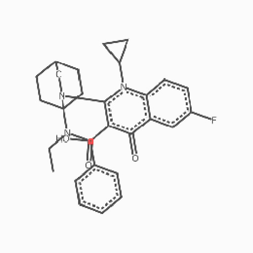 CCN(Cc1ccccc1)C12CCC(CC1)CN2c1c(C(=O)O)c(=O)c2cc(F)ccc2n1C1CC1